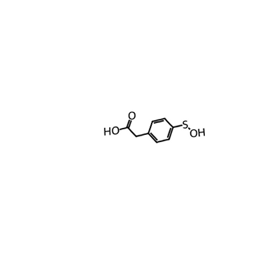 O=C(O)Cc1ccc(SO)cc1